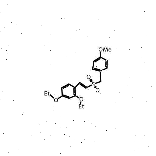 CCOc1ccc(C=CS(=O)(=O)Cc2ccc(OC)cc2)c(OCC)c1